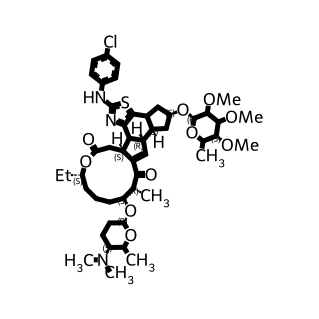 CC[C@H]1CCC[C@H](O[C@H]2CC[C@H](N(C)C)C(C)O2)[C@@H](C)C(=O)C2=C[C@@H]3C(c4nc(Nc5ccc(Cl)cc5)sc4C4C[C@@H](O[C@@H]5OC(C)[C@H](OC)C(OC)C5OC)C[C@H]43)[C@@H]2CC(=O)O1